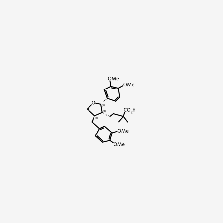 COc1ccc(C[C@H]2CO[C@H](c3ccc(OC)c(OC)c3)[C@@H]2CCC(C)(C)C(=O)O)cc1OC